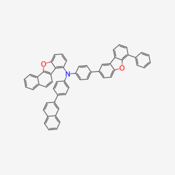 c1ccc(-c2cccc3c2oc2ccc(-c4ccc(N(c5ccc(-c6ccc7ccccc7c6)cc5)c5cccc6oc7c8ccccc8ccc7c56)cc4)cc23)cc1